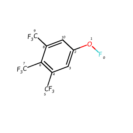 FOc1cc(C(F)(F)F)c(C(F)(F)F)c(C(F)(F)F)c1